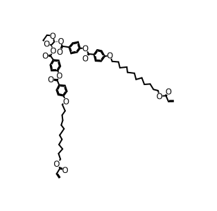 C=CC(=O)OCCCCCCCCCCCCOc1ccc(C(=O)Oc2ccc(C(=O)O[C@H]3OCCO[C@@H]3OC(=O)c3ccc(OC(=O)c4ccc(OCCCCCCCCCCCCOC(=O)C=C)cc4)cc3)cc2)cc1